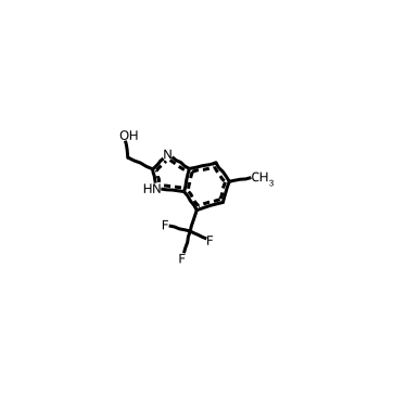 Cc1cc(C(F)(F)F)c2[nH]c(CO)nc2c1